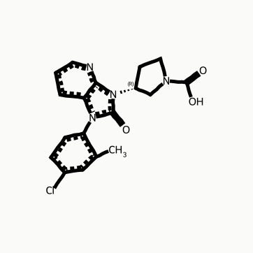 Cc1cc(Cl)ccc1-n1c(=O)n([C@@H]2CCN(C(=O)O)C2)c2ncccc21